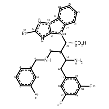 CCc1cccc(CNC[C@H](C(N)Cc2cc(F)cc(F)c2)[C@@H](C(=O)O)n2c3ccccc3n3nc(CC)nc23)c1